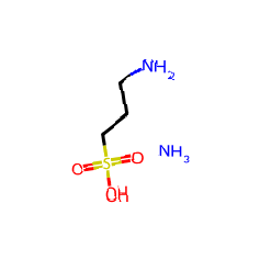 N.NCCCS(=O)(=O)O